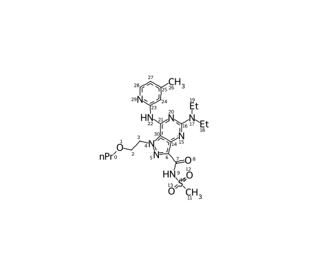 CCCOCCn1nc(C(=O)NS(C)(=O)=O)c2nc(N(CC)CC)nc(Nc3cc(C)ccn3)c21